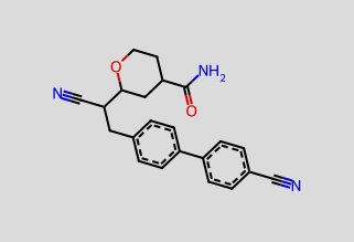 N#Cc1ccc(-c2ccc(CC(C#N)C3CC(C(N)=O)CCO3)cc2)cc1